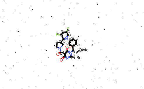 CCCCc1nc(=O)c(C(=O)N2CCC(c3ncc(F)cc3F)C2)c(O)n1[C@@H](COC)c1ccccc1